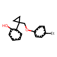 CCc1ccc(OCC2(c3ccccc3O)CC2)cc1